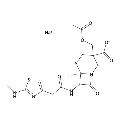 CNc1nc(CC(=O)NC2C(=O)N3CC(COC(C)=O)(C(=O)[O-])CS[C@H]23)cs1.[Na+]